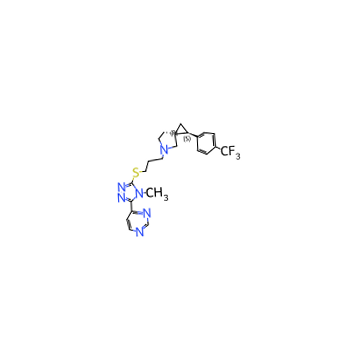 Cn1c(SCCCN2CC[C@@]3(C[C@H]3c3ccc(C(F)(F)F)cc3)C2)nnc1-c1ccncn1